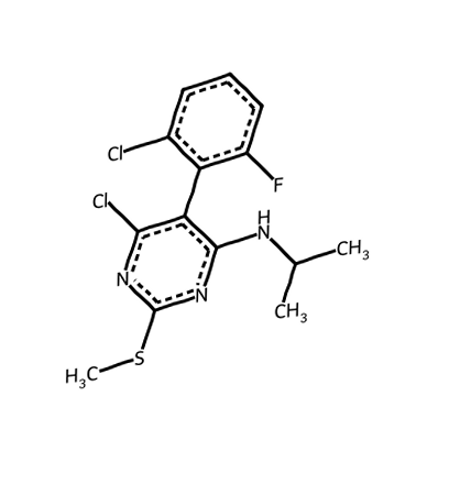 CSc1nc(Cl)c(-c2c(F)cccc2Cl)c(NC(C)C)n1